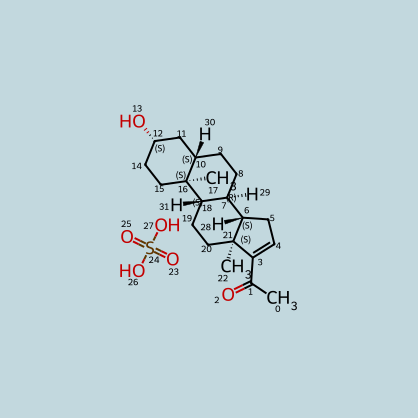 CC(=O)C1=CC[C@H]2[C@@H]3CC[C@H]4C[C@@H](O)CC[C@]4(C)[C@H]3CC[C@]12C.O=S(=O)(O)O